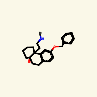 CCNCCC12CCCCC1(O)CCc1ccc(OCc3ccccc3)cc12